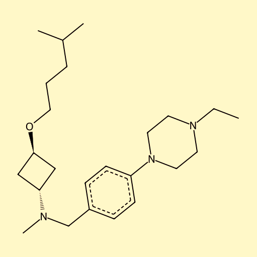 CCN1CCN(c2ccc(CN(C)[C@H]3C[C@H](OCCCC(C)C)C3)cc2)CC1